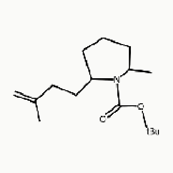 C=C(C)CCC1CCCC(C)N1C(=O)OC(C)(C)C